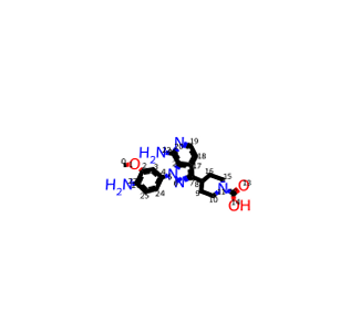 COc1cc(-n2nc(C3CCN(C(=O)O)CC3)c3ccnc(N)c32)ccc1N